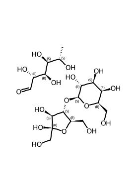 C[C@H](O)[C@H](O)[C@@H](O)[C@@H](O)C=O.OC[C@H]1O[C@@H](O[C@@H]2[C@@H](CO)O[C@](O)(CO)[C@H]2O)[C@H](O)[C@@H](O)[C@H]1O